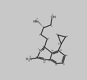 CCCC[C@H](CO)CCc1nc(N)nc2cccc(C3CC3)c12